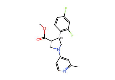 COC(=O)C1CN(c2ccnc(C)c2)C[C@H]1c1ccc(F)cc1F